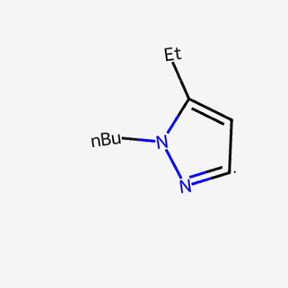 CCCCn1n[c]cc1CC